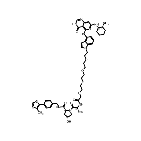 Cc1ncsc1-c1ccc(CNC(=O)[C@@H]2C[C@@H](O)CN2C(=O)[C@@H](NC(=O)COCCOCCOCCOCCn2ccc3c(Nc4nc(N[C@@H]5CCCC[C@@H]5N)cc5nc[nH]c(=O)c45)cccc32)C(C)(C)C)cc1